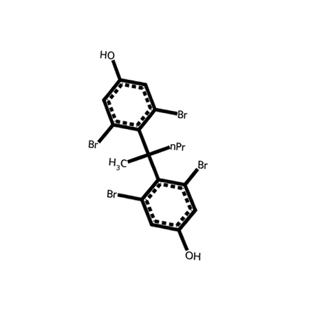 CCCC(C)(c1c(Br)cc(O)cc1Br)c1c(Br)cc(O)cc1Br